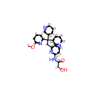 COc1cccc(C(Cc2cccc(NC(=O)CO)n2)(c2cccnc2)c2cccnc2)n1